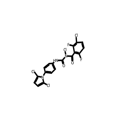 O=C(Nc1ccc(-n2c(Cl)ccc2Cl)cc1)N(Cl)C(=O)c1c(F)ccc(Cl)c1F